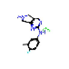 Cc1cc(Nc2ncc3c(n2)CNC3)ccc1F.Cl